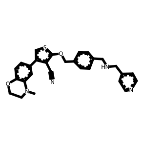 CN1CCOc2ccc(-c3csc(OCc4ccc(CNCc5ccncc5)cc4)c3C#N)cc21